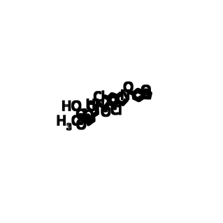 CS(=O)(=O)c1ccc(C[C@H](NC(=O)c2c(Cl)cc3c(c2Cl)CCN(C(=O)C2C=C4OCCC4=CC2)C3)C(=O)O)o1